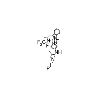 CC1CN(CCCF)CC1Nc1cc(F)c(C2c3[nH]c4ccccc4c3CC(C)N2CC(F)(F)F)c(F)c1